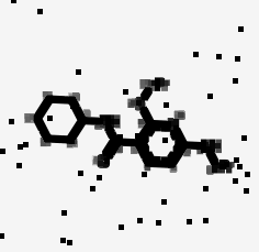 CCCNc1ccc(C(=O)NC2CCCCC2)c(SCCC)n1